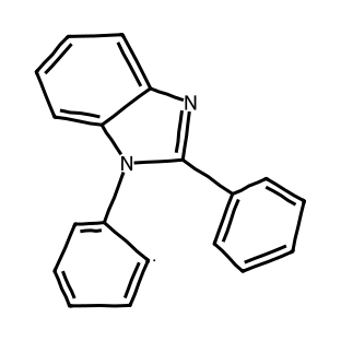 [c]1ccccc1-n1c(-c2ccccc2)nc2ccccc21